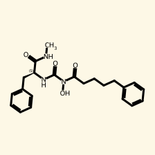 CNC(=O)[C@H](Cc1ccccc1)NC(=O)N(O)C(=O)CCCCc1ccccc1